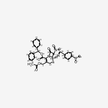 CC(=O)OCC1=C(C(=O)OC(c2ccccc2)c2ccccc2)N2C(=O)[C@@](N=Cc3ccc([N+](=O)[O-])cc3)([N+](=O)[O-])[C@H]2SC1